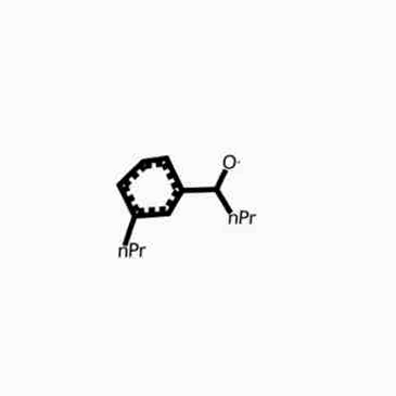 CCCc1cccc(C([O])CCC)c1